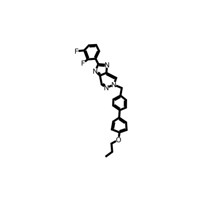 CCCOc1ccc(-c2ccc(Cn3cc4nc(-c5cccc(F)c5F)nc-4cn3)cc2)cc1